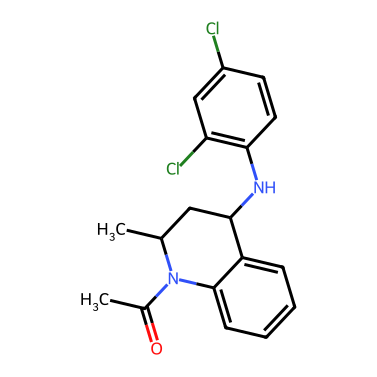 CC(=O)N1c2ccccc2C(Nc2ccc(Cl)cc2Cl)CC1C